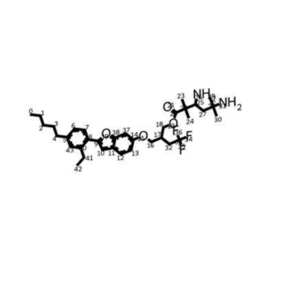 CCCCCc1ccc(-c2cc3ccc(OCC(COC(=O)C(C)(C)C(N)CC(C)(C)N)CC(F)(F)F)cc3o2)c(CC)c1